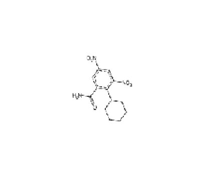 NC(=O)c1cc([N+](=O)[O-])cc([N+](=O)[O-])c1C1CCCCC1